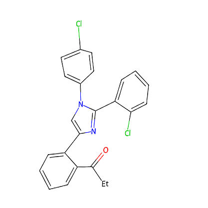 CCC(=O)c1ccccc1-c1cn(-c2ccc(Cl)cc2)c(-c2ccccc2Cl)n1